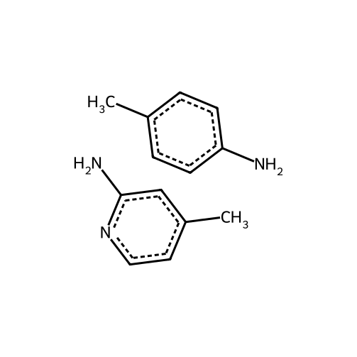 Cc1ccc(N)cc1.Cc1ccnc(N)c1